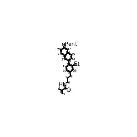 C=C(C)C(=O)NCCCc1ccc(-c2ccc3cc(CCCCC)ccc3c2)c(CC)c1